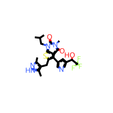 Cc1n[nH]c(C)c1Cc1sc2c(c1-c1cncc(C(O)C(F)(F)F)c1)c(=O)n(C)c(=O)n2CC(C)C